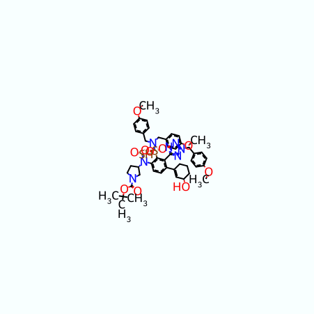 COc1ccc(CN(Cc2ccc(OC)cc2)S(=O)(=O)c2c(N([C@@H]3CCN(C(=O)OC(C)(C)C)C3)[SH](=O)=O)ccc(C3=C[C@H](O)CCC3)c2-c2nnn(Cc3ccc(OC)cc3)n2)cc1